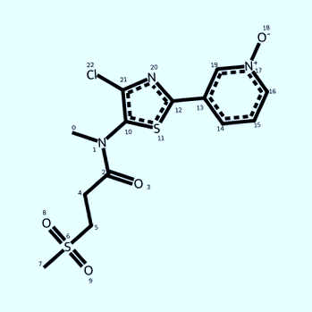 CN(C(=O)CCS(C)(=O)=O)c1sc(-c2ccc[n+]([O-])c2)nc1Cl